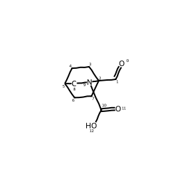 O=CC12CCC(CC1)CN2C(=O)O